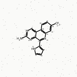 Nc1ncc2c(n1)c(-c1ccc[nH]1)nc1cc(C(F)(F)F)ccc12